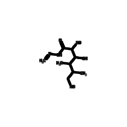 C=NNC(=O)C(N=O)C(O)C(C)C(C)CN=O